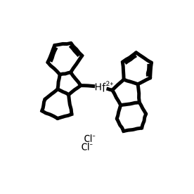 C1=CC2C(C=C1)[CH]([Hf+2][CH]1C3C=CC=CC3C3CCCCC31)C1CCCCC21.[Cl-].[Cl-]